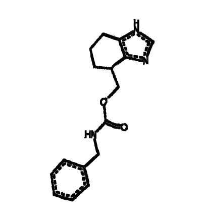 O=C(NCc1ccccc1)OCC1CCCc2[nH]cnc21